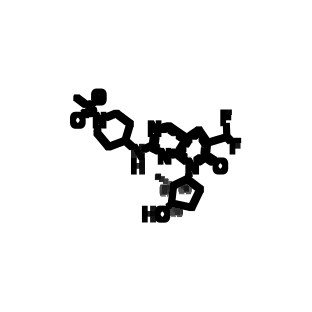 C[C@H]1[C@@H](O)CC[C@@H]1n1c(=O)c(C(F)F)cc2cnc(NC3CCN(S(C)(=O)=O)CC3)nc21